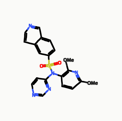 COc1ccc(N(c2ccncn2)S(=O)(=O)c2ccc3cnccc3c2)c(OC)n1